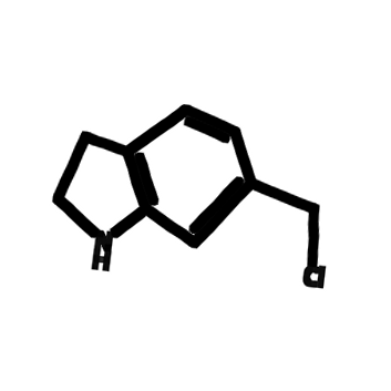 ClCc1ccc2c(c1)NCC2